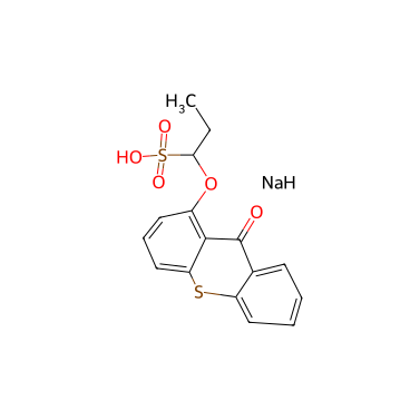 CCC(Oc1cccc2sc3ccccc3c(=O)c12)S(=O)(=O)O.[NaH]